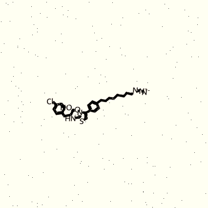 [N-]=[N+]=NCCCCCCCCc1ccc(-c2csc(NC(Cc3ccc(Cl)cc3)C(=O)O)n2)cc1